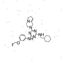 FCOc1cccc(Nc2nc(NCC3CCCCC3)nc(N3CCN4CCC=C4C3)n2)c1